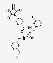 CCc1cccc(CNC[C@@H](O)[C@H](Cc2cc(F)cc(F)c2)NC(=O)c2ccc(-n3c(=O)[nH][nH]c3=O)cc2)c1